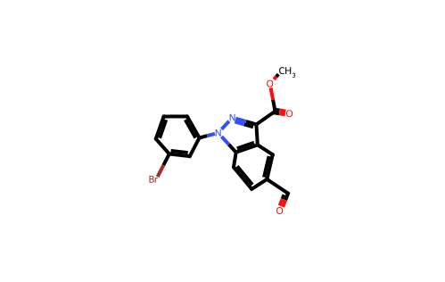 COC(=O)c1nn(-c2cccc(Br)c2)c2ccc(C=O)cc12